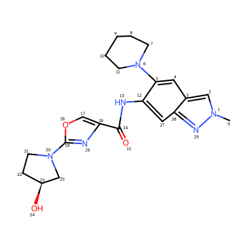 Cn1cc2cc(N3CCCCC3)c(NC(=O)c3coc(N4CC[C@H](O)C4)n3)cc2n1